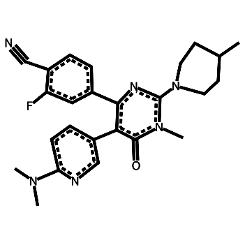 CC1CCN(c2nc(-c3ccc(C#N)c(F)c3)c(-c3ccc(N(C)C)nc3)c(=O)n2C)CC1